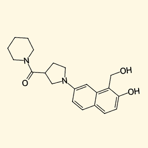 O=C(C1CCN(c2ccc3ccc(O)c(CO)c3c2)C1)N1CCCCC1